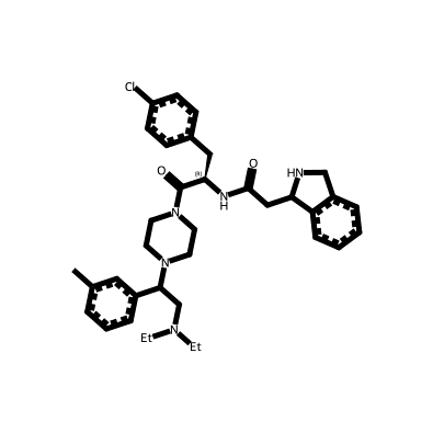 CCN(CC)CC(c1cccc(C)c1)N1CCN(C(=O)[C@@H](Cc2ccc(Cl)cc2)NC(=O)CC2NCc3ccccc32)CC1